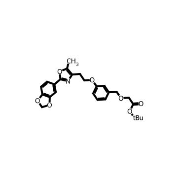 Cc1oc(-c2ccc3c(c2)OCO3)nc1CCOc1cccc(COCC(=O)OC(C)(C)C)c1